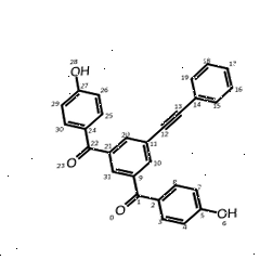 O=C(c1ccc(O)cc1)c1cc(C#Cc2ccccc2)cc(C(=O)c2ccc(O)cc2)c1